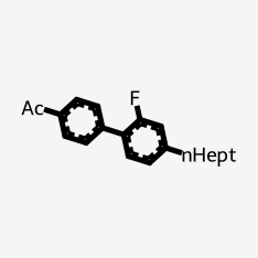 CCCCCCCc1ccc(-c2ccc(C(C)=O)cc2)c(F)c1